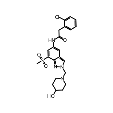 CS(=O)(=O)c1cc(NC(=O)Cc2ccccc2Cl)cc2cn(CN3CCC(O)CC3)nc12